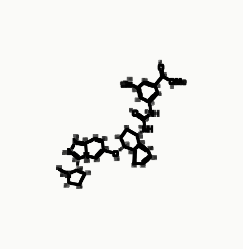 COC(=O)c1cc(NC(=O)N[C@H]2CC[C@@H](Oc3ccc4nnc([C@@H]5CCCN5C)n4c3)c3ccccc32)cc(C(C)(C)C)c1